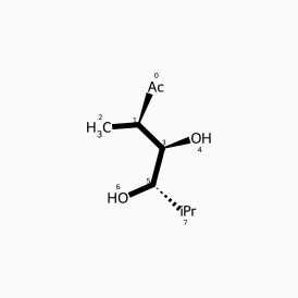 CC(=O)[C@H](C)[C@@H](O)[C@@H](O)C(C)C